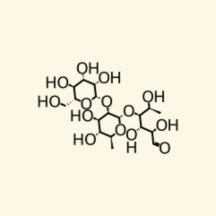 C[C@H](O)[C@H](O[C@@H]1O[C@@H](C)[C@H](O)[C@@H](O)[C@H]1O[C@@H]1O[C@H](CO)[C@@H](O)[C@H](O)[C@@H]1O)[C@@H](O)[C@@H](O)C=O